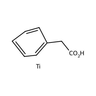 O=C(O)Cc1ccccc1.[Ti]